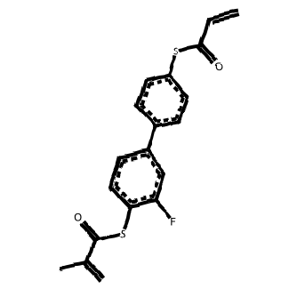 C=CC(=O)Sc1ccc(-c2ccc(SC(=O)C(=C)C)c(F)c2)cc1